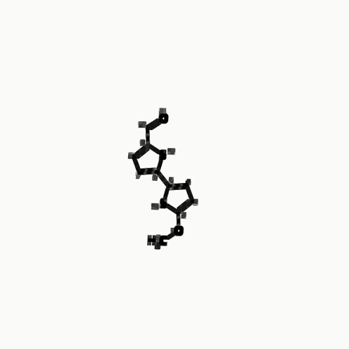 COc1ccc(-c2ccc(C=O)s2)s1